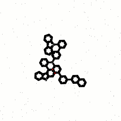 c1cc(-c2ccc(N(c3ccc(-c4ccccc4-n4c5ccccc5c5ccccc54)cc3)c3ccccc3-c3cccc4sc5ccccc5c34)cc2)cc(-c2ccc3ccccc3c2)c1